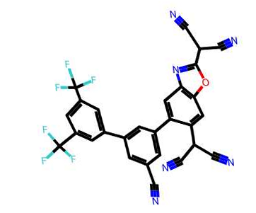 N#Cc1cc(-c2cc(C(F)(F)F)cc(C(F)(F)F)c2)cc(-c2cc3nc(C(C#N)C#N)oc3cc2C(C#N)C#N)c1